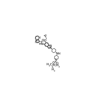 CC(C)(C)OC(=O)N1CCC(N[C@H]2CC[C@H](n3cc4cc(NC(=O)c5cnn6cccnc56)c(OCC5CC5)cc4n3)CC2)CC1